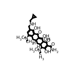 CN(C)c1cc(CNCC2CC2)c(O)c2c1C[C@H]1C[C@H]3C(N(C)C)C(O)=C(C(N)=O)C(=O)[C@@]3(O)C(O)=C1C2=O